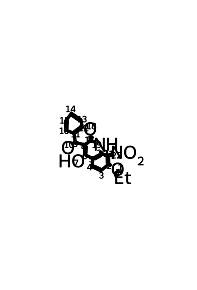 CCOc1ccc2c(O)c(C(=O)c3ccccc3)c(=O)[nH]c2c1[N+](=O)[O-]